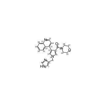 O=C(c1cn(Cc2c[nH]cn2)cc1-c1ccnc2ccccc12)N1CCOCC1